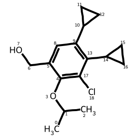 CC(C)Oc1c(CO)cc(C2CC2)c(C2CC2)c1Cl